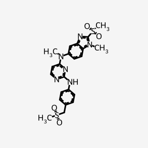 CN(c1ccc2c(c1)nc(S(C)(=O)=O)n2C)c1ccnc(Nc2ccc(CS(C)(=O)=O)cc2)n1